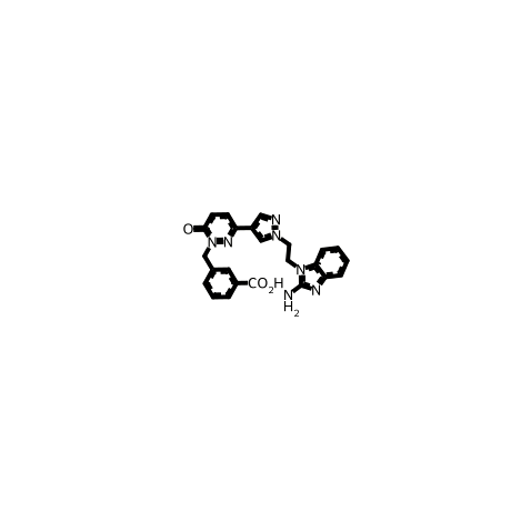 Nc1nc2ccccc2n1CCn1cc(-c2ccc(=O)n(Cc3cccc(C(=O)O)c3)n2)cn1